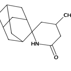 CC1CC(=O)NC2(C1)C1CC3CC(C1)CC2C3